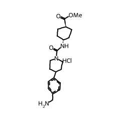 COC(=O)[C@H]1CC[C@H](NC(=O)N2CCC(c3ccc(CN)cc3)CC2)CC1.Cl